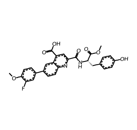 COC(=O)[C@H](Cc1ccc(O)cc1)NC(=O)c1cc(C(=O)O)c2cc(-c3ccc(OC)c(F)c3)ccc2n1